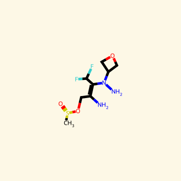 CS(=O)OC/C(N)=C(\C(F)F)N(N)C1COC1